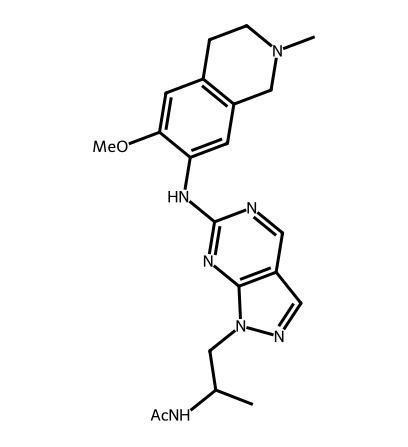 COc1cc2c(cc1Nc1ncc3cnn(CC(C)NC(C)=O)c3n1)CN(C)CC2